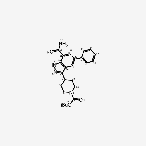 CC(C)COC(=O)N1CCC(c2n[nH]c3c(C(N)=O)nc(-c4ccccc4)cc23)CC1